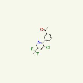 CC(=O)c1cccc(C2=NCC(C(C)(F)F)C=C2Cl)c1